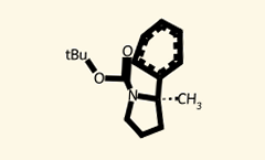 CC(C)(C)OC(=O)N1CCC[C@]1(C)c1ccccc1